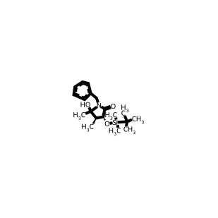 C[C@@H]1[C@@H](O[Si](C)(C)C(C)(C)C)C(=O)N(Cc2ccccc2)C1(C)O